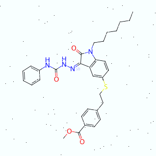 CCCCCCCN1C(=O)/C(=N\NC(=O)Nc2ccccc2)c2cc(SCCc3ccc(C(=O)OC)cc3)ccc21